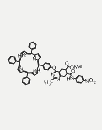 COC(=O)C1Cc2c(nc(C)nc2Oc2ccc(-c3c4nc(c(-c5ccccc5)c5ccc([nH]5)c(-c5ccccc5)c5nc(c(-c6ccccc6)c6ccc3[nH]6)C=C5)C=C4)cc2)CC1C(=O)Nc1ccc([N+](=O)[O-])cc1